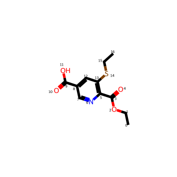 CCOC(=O)c1ncc(C(=O)O)cc1SCC